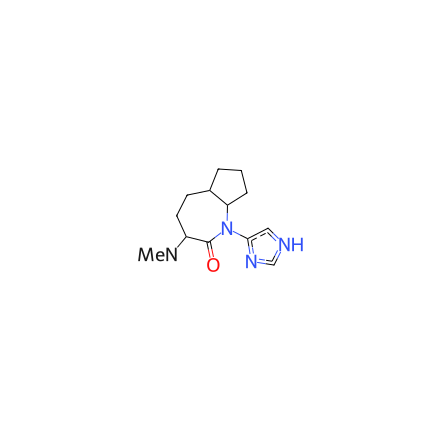 CNC1CCC2CCCC2N(c2c[nH]cn2)C1=O